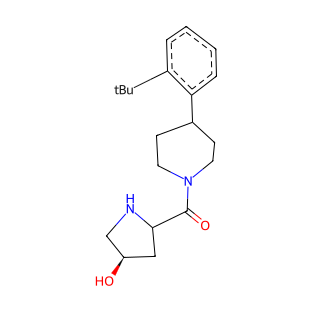 CC(C)(C)c1ccccc1C1CCN(C(=O)C2C[C@@H](O)CN2)CC1